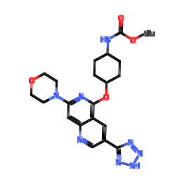 CC(C)(C)OC(=O)NC1CCC(Oc2nc(N3CCOCC3)cc3ncc(-c4nn[nH]n4)cc23)CC1